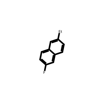 CCc1ccc2cc(F)ccc2c1